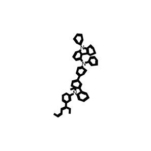 C/C=C\C=C(/CC)C1=CCCC(N2c3ccccc3C3=CC(c4ccc(N(C5=CC=CC6C5C5=C(C=CCC5)N6c5ccccc5)c5ccccc5)cc4)=CCC32C)=C1